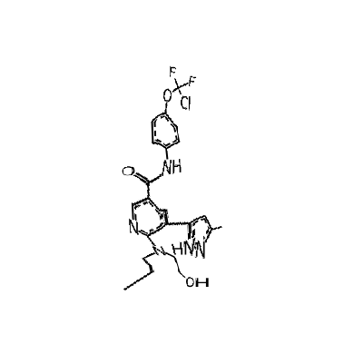 CCCN(CCO)c1ncc(C(=O)Nc2ccc(OC(F)(F)Cl)cc2)cc1-c1cc(C)n[nH]1